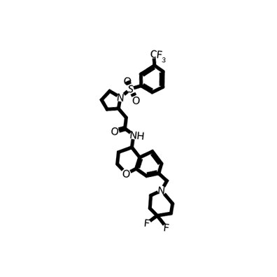 O=C(CC1CCCN1S(=O)(=O)c1cccc(C(F)(F)F)c1)NC1CCOc2cc(CN3CCC(F)(F)CC3)ccc21